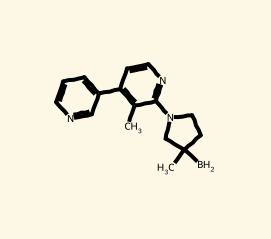 BC1(C)CCN(c2nccc(-c3cccnc3)c2C)C1